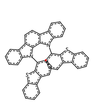 c1ccc2c(c1)sc1c(-n3c4ccccc4c4ccc5c6ccccc6n(-c6cccc7c6sc6ccccc67)c5c43)cccc12